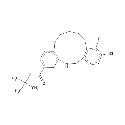 CC(C)(C)OC(=O)c1ccc2c(c1)NCc1ccc(Cl)c(F)c1CCCCO2